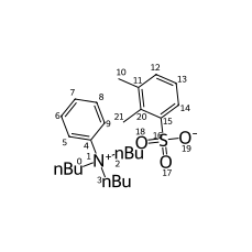 CCCC[N+](CCCC)(CCCC)c1ccccc1.Cc1cccc(S(=O)(=O)[O-])c1C